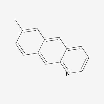 Cc1ccc2cc3ncccc3cc2c1